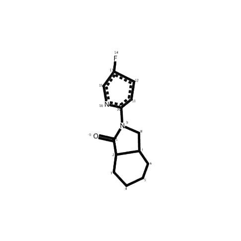 O=C1C2CCCCC2CN1c1ccc(F)cn1